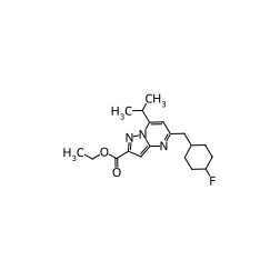 CCOC(=O)c1cc2nc(CC3CCC(F)CC3)cc(C(C)C)n2n1